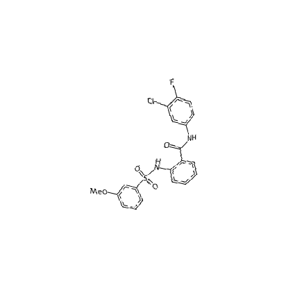 COc1cccc(S(=O)(=O)Nc2ccccc2C(=O)Nc2ccc(F)c(Cl)c2)c1